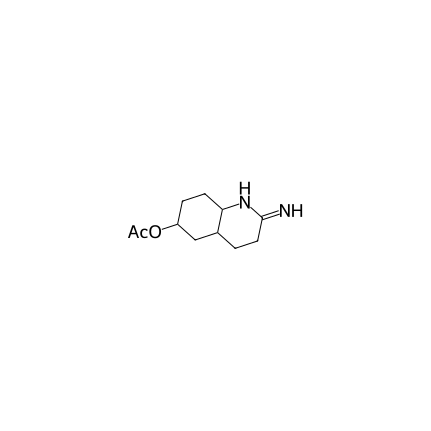 CC(=O)OC1CCC2NC(=N)CCC2C1